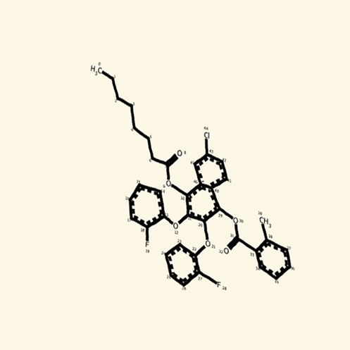 CCCCCCCC(=O)Oc1c(Oc2ccccc2F)c(Oc2ccccc2F)c(OC(=O)c2ccccc2C)c2ccc(Cl)cc12